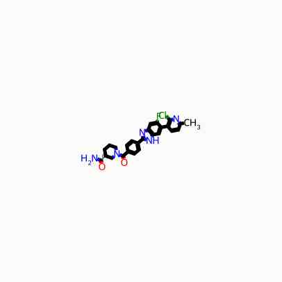 Cc1ccc(-c2cc3[nH]c(-c4ccc(C(=O)N5CCC[C@@H](C(N)=O)C5)cc4)nc3cc2F)c(Cl)n1